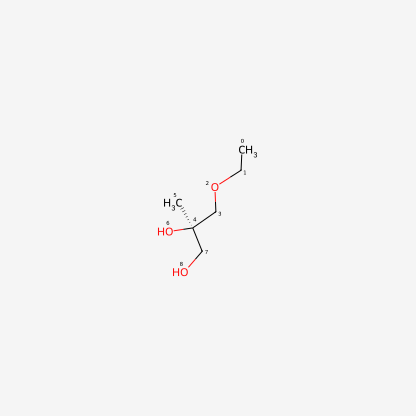 CCOC[C@](C)(O)CO